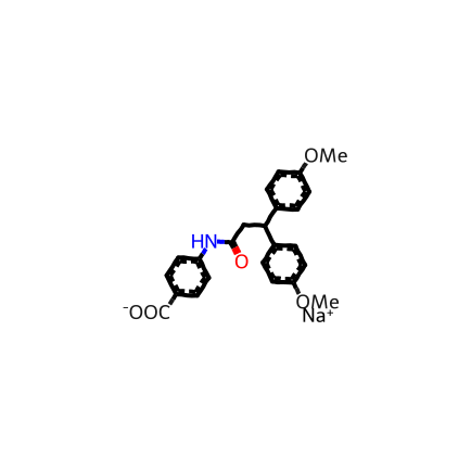 COc1ccc(C(CC(=O)Nc2ccc(C(=O)[O-])cc2)c2ccc(OC)cc2)cc1.[Na+]